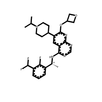 CC(C)N1CCC(c2cc3c(N[C@H](C)c4cccc(C(F)F)c4F)ncnc3nc2OC2COC2)CC1